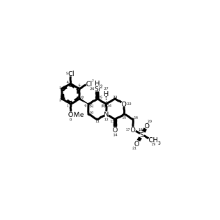 COc1ccc(Cl)c(Cl)c1[C@@H]1CCN2C(=O)C(COS(C)(=O)=O)OC[C@@H]2C1=[SiH2]